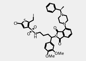 COc1ccc(C(CCCNS(=O)(=O)c2cc(Cl)sc2CI)N2C(=O)c3cccc(N4CCN([C@H](C)c5ccccc5)CC4)c3C2=O)cc1OC